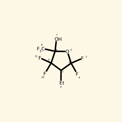 CCC1C(F)(F)OC(O)(C(F)(F)F)C1(F)F